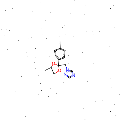 Cc1ccc(C2(Cn3cncn3)OCC(C)O2)cc1